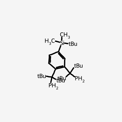 CC(C)(C)C(P)(c1ccc([Si](C)(C)C(C)(C)C)cc1C(P)(C(C)(C)C)C(C)(C)C)C(C)(C)C